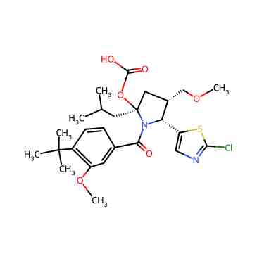 COC[C@H]1C[C@](CC(C)C)(OC(=O)O)N(C(=O)c2ccc(C(C)(C)C)c(OC)c2)[C@H]1c1cnc(Cl)s1